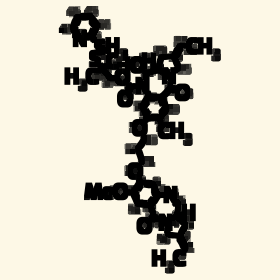 CC=C1C[C@H]2C=Nc3cc(OCCCOc4cc5c(cc4C)C(=O)N4CC(=CC)C[C@H]4C(O)N5C(=O)OCC(C)(C)SSc4ccccn4)c(OC)cc3C(=O)N2C1